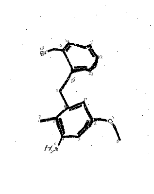 COc1cc(N)c(C)c(Cc2ccccc2Br)c1